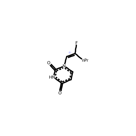 CCC/C(F)=C\n1ccc(=O)[nH]c1=O